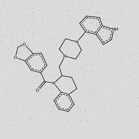 O=C(c1ccc2c(c1)OCO2)N1c2ccccc2CCC1CN1CCN(c2cccc3[nH]ccc23)CC1